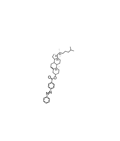 CC(C)CCC[C@@H](C)[C@H]1CCC2C3CC=C4CC(OC(=O)c5ccc(N=Nc6ccccc6)cc5)CC[C@]4(C)C3CC[C@@]21C